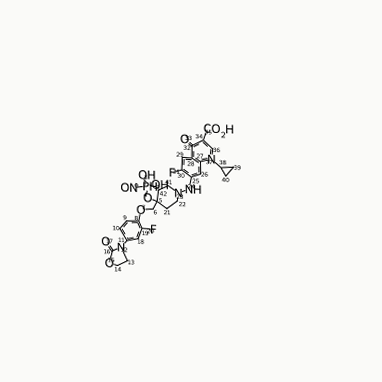 O=N[PH](O)(O)OC1(COc2ccc(N3CCOC3=O)cc2F)CCN(Nc2cc3c(cc2F)c(=O)c(C(=O)O)cn3C2CC2)CC1